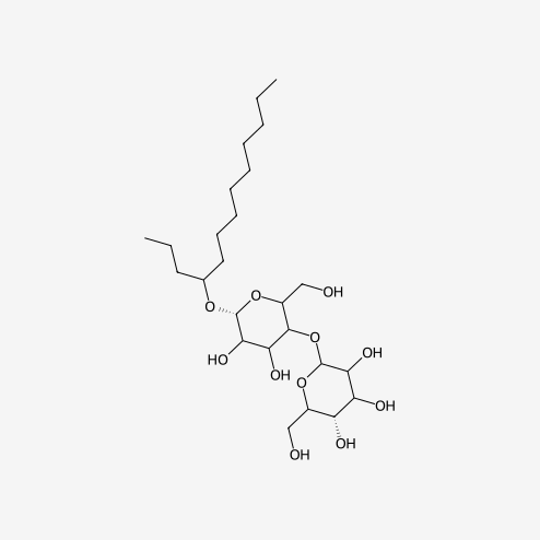 CCCCCCCCCC(CCC)O[C@@H]1OC(CO)C(OC2OC(CO)[C@@H](O)C(O)C2O)C(O)C1O